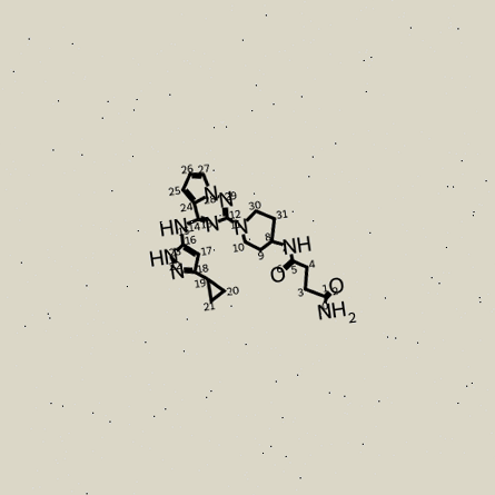 NC(=O)CCC(=O)NC1CCN(c2nc(Nc3cc(C4CC4)n[nH]3)c3cccn3n2)CC1